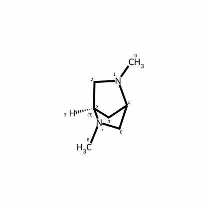 CN1C[C@H]2CC1CN2C